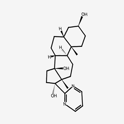 C[C@]12CC[C@H](O)C[C@H]1CC[C@@H]1[C@@H]2CC[C@]2(C)[C@@](O)(c3ncccn3)CC[C@]12O